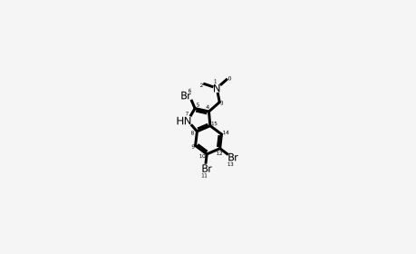 CN(C)Cc1c(Br)[nH]c2cc(Br)c(Br)cc12